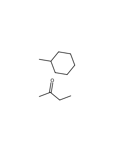 CC1CCCCC1.CCC(C)=O